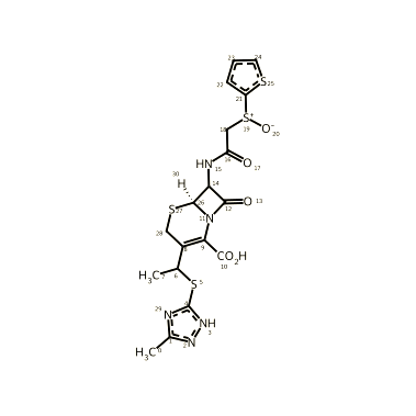 Cc1n[nH]c(SC(C)C2=C(C(=O)O)N3C(=O)C(NC(=O)C[S+]([O-])c4cccs4)[C@@H]3SC2)n1